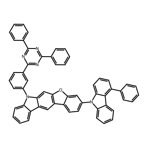 c1ccc(-c2nc(-c3ccccc3)nc(-c3cccc(-n4c5ccccc5c5cc6c(cc54)oc4cc(-n5c7ccccc7c7c(-c8ccccc8)cccc75)ccc46)c3)n2)cc1